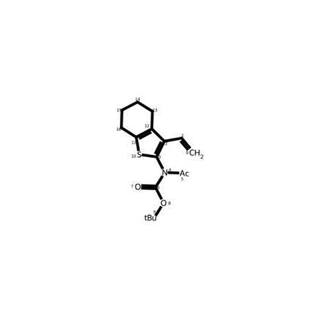 C=Cc1c(N(C(C)=O)C(=O)OC(C)(C)C)sc2c1CCCC2